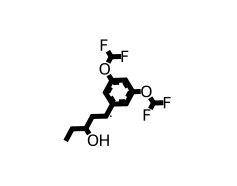 CCC(O)C[CH]c1cc(OC(F)F)cc(OC(F)F)c1